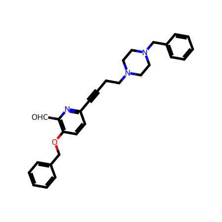 O=Cc1nc(C#CCCN2CCN(Cc3ccccc3)CC2)ccc1OCc1ccccc1